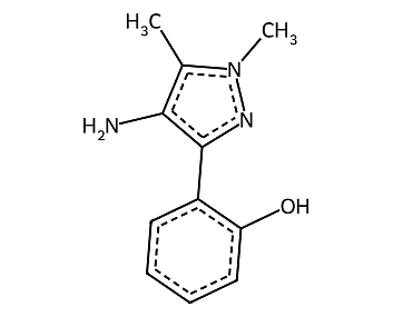 Cc1c(N)c(-c2ccccc2O)nn1C